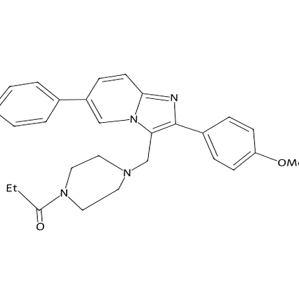 CCC(=O)N1CCN(Cc2c(-c3ccc(OC)cc3)nc3ccc(-c4ccccc4)cn23)CC1